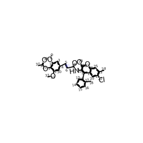 COc1cc(/C=C/C(=O)Nc2c(-c3ccccc3C)c3cc(Cl)c(C)cc3oc2=O)cc(OC)c1OC(C)=O